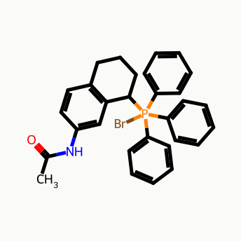 CC(=O)Nc1ccc2c(c1)C(P(Br)(c1ccccc1)(c1ccccc1)c1ccccc1)CCC2